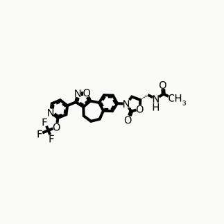 CC(=O)NC[C@H]1CN(c2ccc3c(c2)CCCc2c(-c4ccnc(OC(F)(F)F)c4)noc2-3)C(=O)O1